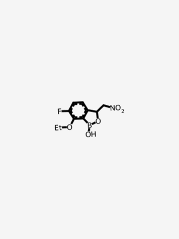 CCOc1c(F)ccc2c1B(O)OC2C[N+](=O)[O-]